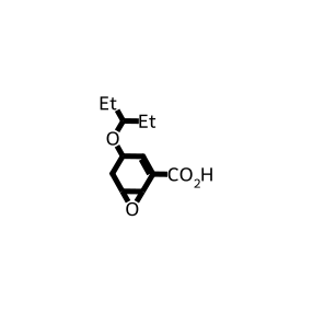 CCC(CC)OC1C=C(C(=O)O)C2OC2C1